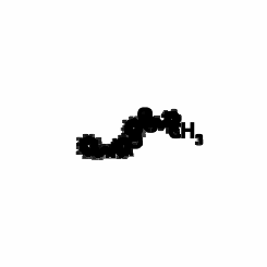 CN1CCCC1CCOC(=O)c1cccc(OC2CCN(CCCc3ccccc3)CC2)c1